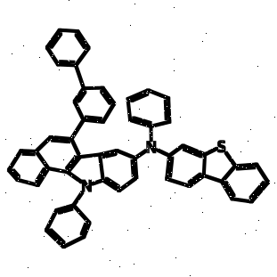 c1ccc(-c2cccc(-c3cc4ccccc4c4c3c3cc(N(c5ccccc5)c5ccc6c(c5)sc5ccccc56)ccc3n4-c3ccccc3)c2)cc1